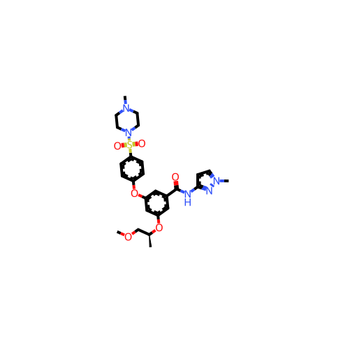 COC[C@H](C)Oc1cc(Oc2ccc(S(=O)(=O)N3CCN(C)CC3)cc2)cc(C(=O)Nc2ccn(C)n2)c1